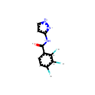 O=C(Nc1cc[nH]n1)c1ccc(F)c(F)c1F